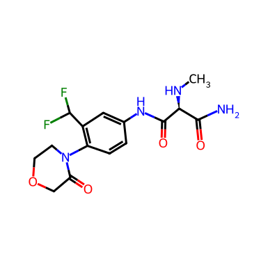 CN[C@@H](C(N)=O)C(=O)Nc1ccc(N2CCOCC2=O)c(C(F)F)c1